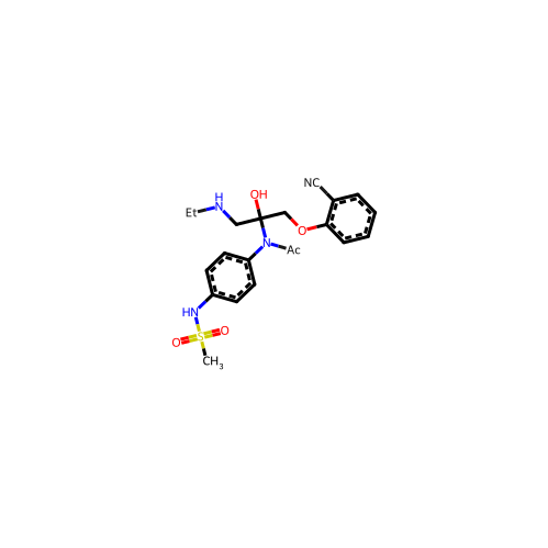 CCNCC(O)(COc1ccccc1C#N)N(C(C)=O)c1ccc(NS(C)(=O)=O)cc1